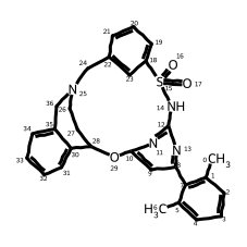 Cc1cccc(C)c1-c1cc2nc(n1)NS(=O)(=O)c1cccc(c1)CN1CCC(O2)c2ccccc2C1